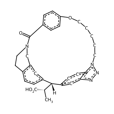 C[C@H](C(=O)O)[C@@H]1c2ccc3c(c2)CN(CC3)C(=O)c2ccc(cc2)OCCCCCn2nnc3cc1ccc32